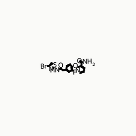 NC(=O)c1cccnc1Oc1ccc(CC(=O)Nc2nc(Br)cs2)cc1F